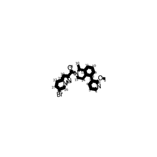 COc1ncccc1-c1cccc2c1CCN(C(=O)c1cc3ccc(Br)cn3n1)C2C